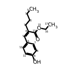 CCCCC(=Cc1ccc(O)cc1)C(=O)OCC